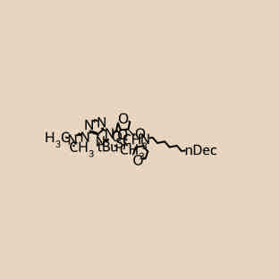 CCCCCCCCCCCCCCCCN(OC[C@]12COC(C1O[Si](C)(C)C(C)(C)C)[C@H](n1cnc3c(N=CN(C)C)ncnc31)O2)C1CCOCC1